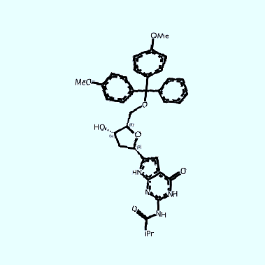 COc1ccc(C(OC[C@H]2O[C@@H](c3cc4c(=O)[nH]c(NC(=O)C(C)C)nc4[nH]3)C[C@@H]2O)(c2ccccc2)c2ccc(OC)cc2)cc1